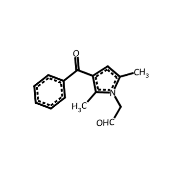 Cc1cc(C(=O)c2ccccc2)c(C)n1CC=O